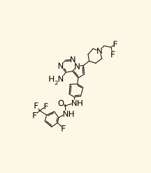 Nc1ncnn2c(C3CCN(CC(F)F)CC3)cc(-c3ccc(NC(=O)Nc4cc(C(F)(F)F)ccc4F)cc3)c12